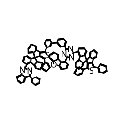 c1ccc(-c2sc(-c3ccccc3)c3c2-c2ccccc2C32c3ccccc3-c3c(-c4nc(-c5cccc(-c6cccc(-c7sc(-c8ccccc8)c8c7-c7ccccc7C87c8ccccc8-c8c(-c9nc(-c%10ccccc%10)c%10ccccc%10n9)cccc87)c6)c5)nc(-c5cccc6oc7ccccc7c56)n4)cccc32)cc1